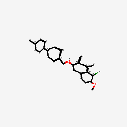 COC1CCC2CC(OCC3CCC(C4CCC(C)CC4)CC3)C(C)C(C)C2C1F